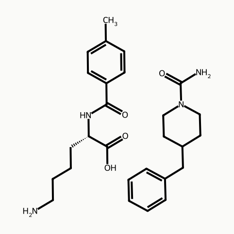 Cc1ccc(C(=O)N[C@@H](CCCCN)C(=O)O)cc1.NC(=O)N1CCC(Cc2ccccc2)CC1